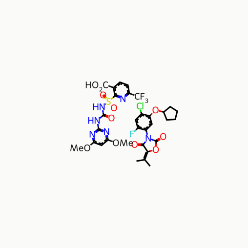 CC(C)=C1OC(=O)N(c2cc(OC3CCCC3)c(Cl)cc2F)C1=O.COc1cc(OC)nc(NC(=O)NS(=O)(=O)c2nc(C(F)(F)F)ccc2C(=O)O)n1